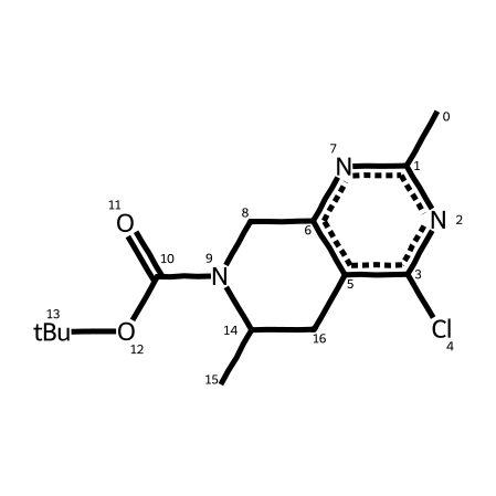 Cc1nc(Cl)c2c(n1)CN(C(=O)OC(C)(C)C)C(C)C2